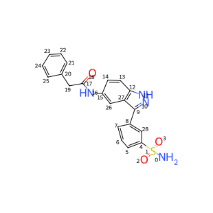 NS(=O)(=O)c1cccc(-c2n[nH]c3ccc(NC(=O)Cc4ccccc4)cc23)c1